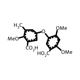 COc1cc(OC)c(C(=O)O)cc1Oc1cc(C)c(OC)c(C(=O)O)c1